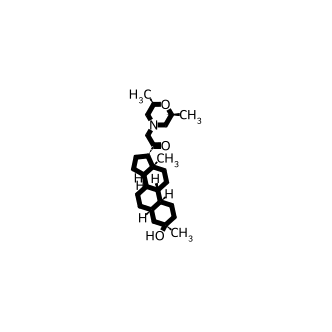 C[C@H]1CN(CC(=O)[C@H]2CC[C@H]3[C@@H]4CC[C@@H]5C[C@](C)(O)CC[C@@H]5[C@H]4CC[C@]23C)C[C@H](C)O1